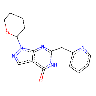 O=c1[nH]c(Cc2ccccn2)nc2c1cnn2C1CCCCO1